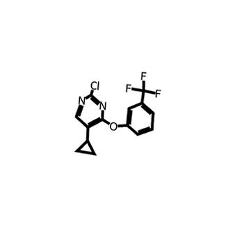 FC(F)(F)c1cccc(Oc2nc(Cl)ncc2C2CC2)c1